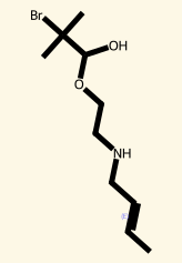 C/C=C/CNCCOC(O)C(C)(C)Br